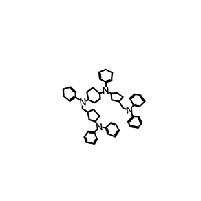 C1=CC(N(CC2CCC(N(c3ccccc3)c3ccccc3)C2)C2CCC(N(C3=CCCC=C3)C3CCC(CN(c4ccccc4)c4ccccc4)C3)CC2)=CCC1